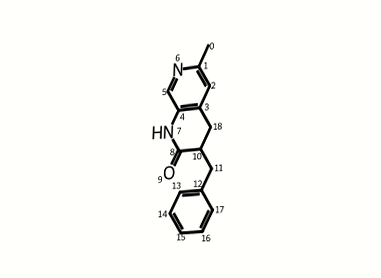 Cc1cc2c(cn1)NC(=O)C(Cc1ccccc1)C2